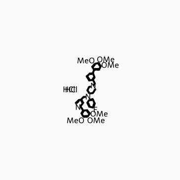 COc1cc(-c2cccc(CN3CCC(N(Cc4ccnc(-c5cc(OC)c(OC)c(OC)c5)c4)c4ccc(F)cc4)CC3)c2)cc(OC)c1OC.Cl.Cl